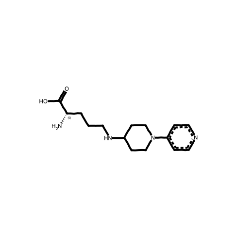 N[C@@H](CCCNC1CCN(c2ccncc2)CC1)C(=O)O